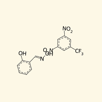 O=[N+]([O-])c1cc([N+](=O)[O-])cc(C(F)(F)F)c1.ON=Cc1ccccc1O